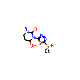 CC[S+]([O-])c1nnc(N2C(=O)N(C)CCC2O)s1